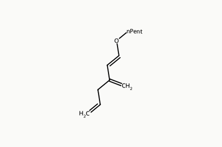 C=CCC(=C)/C=C/OCCCCC